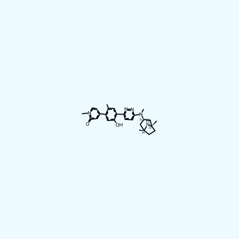 Cc1cc(-c2ccc(N(C)[C@H]3C[C@]4(C)CC[C@](C)(C3)N4)nn2)c(O)cc1-c1ccn(C)c(=O)c1